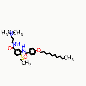 CCCCCCCCCCOc1ccc(C(=O)Nc2cc(C(=O)NCCCN(C)C)ccc2SCC)cc1